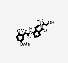 COc1ccc(OC)c(CC(=O)Nc2cccc3c(=O)n(C(C)CO)ccc23)c1